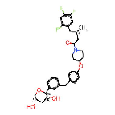 C[C@@H](CC(=O)N1CCC(Oc2ccc(Cc3cccc([C@@H]4OC[C@@H](O)C[C@H]4O)c3)cc2)CC1)Cc1cc(F)c(F)cc1F